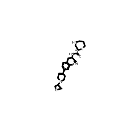 N#CC(Cc1ccc(C2=CCN(C3COC3)CC2)cc1F)NC(=O)[C@@H]1CNCCCO1